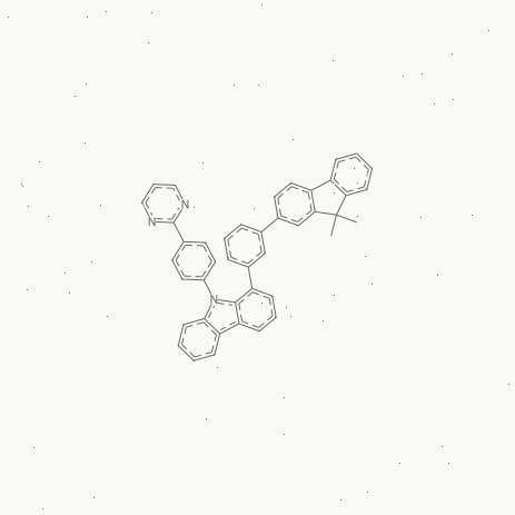 CC1(C)c2ccccc2-c2ccc(-c3cccc(-c4cccc5c6ccccc6n(-c6ccc(-c7ncccn7)cc6)c45)c3)cc21